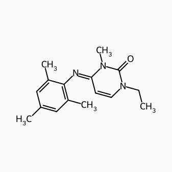 CCn1ccc(=Nc2c(C)cc(C)cc2C)n(C)c1=O